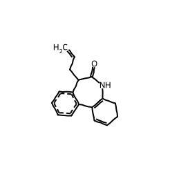 C=CCC1C(=O)NC2=C(C=CCC2)c2ccccc21